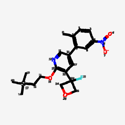 Cc1ccc([N+](=O)[O-])cc1-c1cnc(OCC[Si](C)(C)C)c(C2(F)COC2)c1